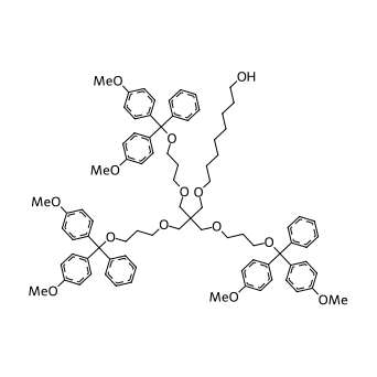 COc1ccc(C(OCCCOCC(COCCCCCCCCO)(COCCCOC(c2ccccc2)(c2ccc(OC)cc2)c2ccc(OC)cc2)COCCCOC(c2ccccc2)(c2ccc(OC)cc2)c2ccc(OC)cc2)(c2ccccc2)c2ccc(OC)cc2)cc1